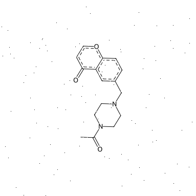 CC(=O)N1CCN(Cc2ccc3occc(=O)c3c2)CC1